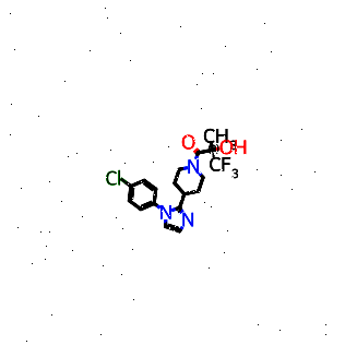 C[C@@](O)(C(=O)N1CCC(c2nccn2-c2ccc(Cl)cc2)CC1)C(F)(F)F